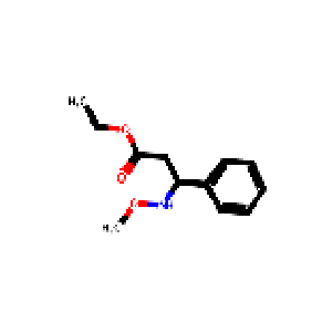 CCOC(=O)CC(NOC)c1ccccc1